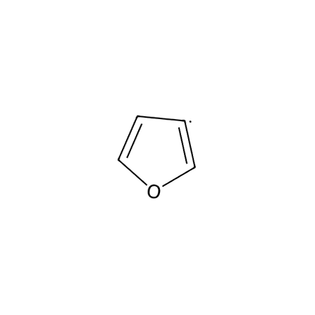 [c]1ccoc1